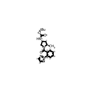 C[C@@H]1C[C@@H](NC(=O)OC(C)(C)C)CN1C(=O)c1ccccc1-n1nccn1